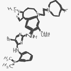 COc1cc2c(cc1Nc1ncc(Br)c(Nc3ccccc3P(C)C)n1)-c1cnn(C)c1CCN2CCN1CCC(F)CC1